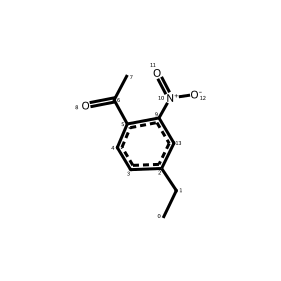 CCc1ccc(C(C)=O)c([N+](=O)[O-])c1